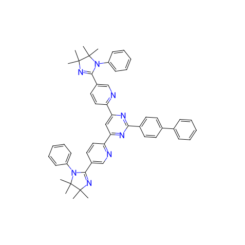 CC1(C)N=C(c2ccc(-c3cc(-c4ccc(C5=NC(C)(C)C(C)(C)N5c5ccccc5)cn4)nc(-c4ccc(-c5ccccc5)cc4)n3)nc2)N(c2ccccc2)C1(C)C